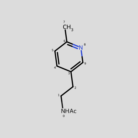 CC(=O)NCCc1ccc(C)nc1